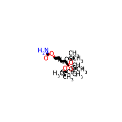 C[Si](C)(C)OC(CCC=COC(N)=O)(O[Si](C)(C)C)O[Si](C)(C)C